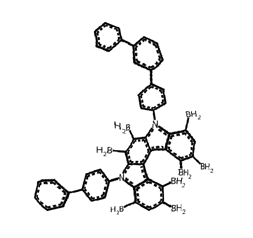 Bc1cc(B)c2c(c1B)c1c3c4c(B)c(B)cc(B)c4n(-c4ccc(-c5cccc(-c6ccccc6)c5)cc4)c3c(B)c(B)c1n2-c1ccc(-c2ccccc2)cc1